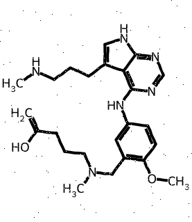 C=C(O)CCCN(C)Cc1cc(Nc2ncnc3[nH]cc(CCCNC)c23)ccc1OC